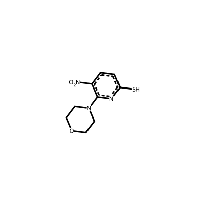 O=[N+]([O-])c1ccc(S)nc1N1CCOCC1